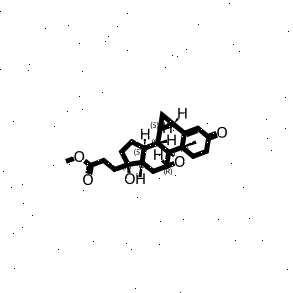 COC(=O)CC[C@]1(O)CC[C@H]2[C@@H]3[C@H]4C[C@H]4C4=CC(=O)CC[C@]4(C)[C@]34O[C@@H]4C[C@@]21C